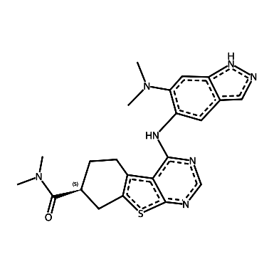 CN(C)C(=O)[C@H]1CCc2c(sc3ncnc(Nc4cc5cn[nH]c5cc4N(C)C)c23)C1